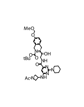 COCOc1ccc2c(c1)CN(C(=O)OC(C)(C)C)[C@H]([C@H](O)CNC(=O)c1cc(NC3CN(C(C)=O)C3)nc(N3CCCCC3)n1)C2